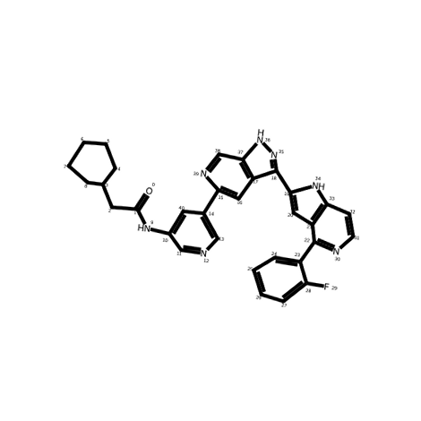 O=C(CC1CCCCC1)Nc1cncc(-c2cc3c(-c4cc5c(-c6ccccc6F)nccc5[nH]4)n[nH]c3cn2)c1